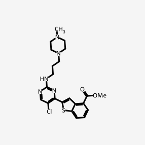 COC(=O)c1cccc2sc(-c3nc(NCCCN4CCN(C)CC4)ncc3Cl)cc12